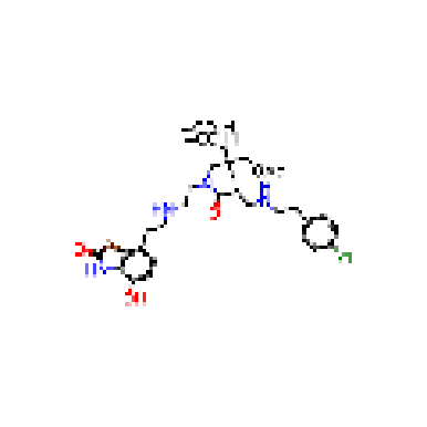 CC(=O)O.CC(=O)O.CC(=O)OCC(C)(C)CN(CCNCCc1ccc(O)c2[nH]c(=O)sc12)C(=O)CCNCCc1ccc(Cl)cc1